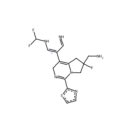 N=C/C(=C\NC(F)F)C1=C2CC(F)(CN)CN2C(c2nccs2)=NC1